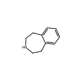 [C]1Cc2ccccc2CCN1